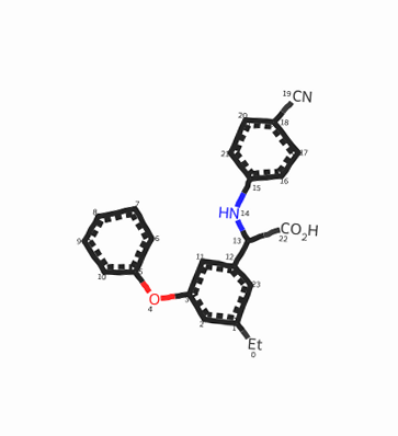 CCc1cc(Oc2ccccc2)cc(C(Nc2ccc(C#N)cc2)C(=O)O)c1